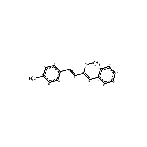 COC(C=Cc1ccc(C)cc1)=Cc1ccccc1